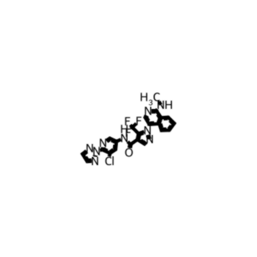 CNc1ncc(-n2ncc(C(=O)Nc3cnc(-n4nccn4)c(Cl)c3)c2C(F)(F)F)c2ccccc12